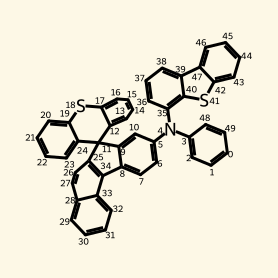 c1ccc(N(c2ccc3c(c2)C2(c4ccccc4Sc4ccccc42)c2ccc4ccccc4c2-3)c2cccc3c2sc2ccccc23)cc1